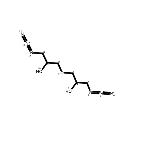 [N-]=[N+]=NCC(O)COCC(O)CN=[N+]=[N-]